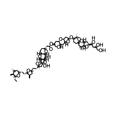 C=C1C[C@H](CC[C@@]23CC4(O)O[C@H]5[C@@H](O2)[C@H]2O[C@@H](CC(=O)O[C@H]6CO[C@H]7C[C@H]8O[C@@H](O[C@H]9CC[C@@]%10(C[C@H](C)[C@@H]%11O[C@H]([C@@H](O)C[C@@H](O)CO)C[C@@H]%11O%10)O[C@H]9C)CC8OC7C6)CC[C@@H]2O[C@H]5C4O3)O[C@H]1CC[C@H]1C[C@@H](C)C(=C)[C@@H](CC)O1